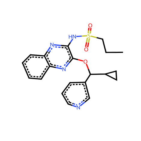 CCCS(=O)(=O)Nc1nc2ccccc2nc1OC(c1cccnc1)C1CC1